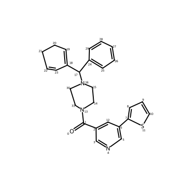 O=C(c1cncc(-c2cccs2)c1)N1CCN(C(C2=CCCC=C2)c2ccccc2)CC1